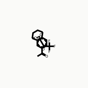 CC(=O)c1ccc2c(c1)C1CCC2CN(C(=O)C(F)(F)F)C1